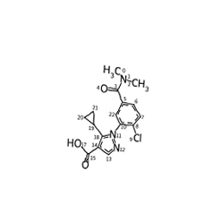 CN(C)C(=O)c1ccc(Cl)c(-n2ncc(C(=O)O)c2C2CC2)c1